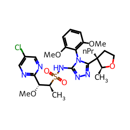 CCC[C@@]1(c2nnc(NS(=O)(=O)[C@@H](C)[C@H](OC)c3ncc(Cl)cn3)n2-c2c(OC)cccc2OC)CCO[C@H]1C